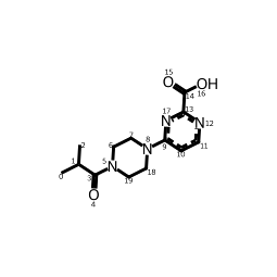 CC(C)C(=O)N1CCN(c2ccnc(C(=O)O)n2)CC1